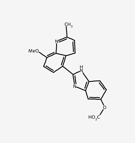 COc1ccc(-c2nc3cc(OC(=O)O)ccc3[nH]2)c2ccc(C)nc12